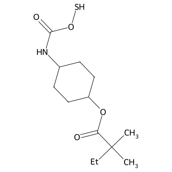 CCC(C)(C)C(=O)OC1CCC(NC(=O)OS)CC1